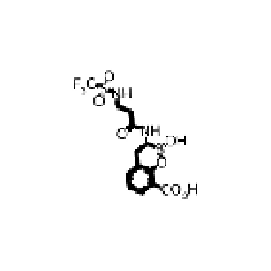 O=C(CCNS(=O)(=O)C(F)(F)F)N[C@H]1Cc2cccc(C(=O)O)c2OB1O